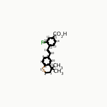 CC1(C)CCSc2ccc(/C=C/c3ccc(C(=O)O)cc3F)cc21